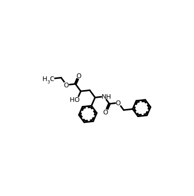 CCOC(=O)C(O)CC(NC(=O)OCc1ccccc1)c1ccccc1